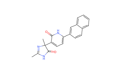 CC1=NC(C)(c2ccc(-c3ccc4ccccc4c3)[nH]c2=O)C(=O)N1